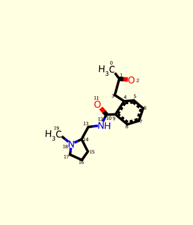 CC(=O)Cc1ccccc1C(=O)NCC1CCCN1C